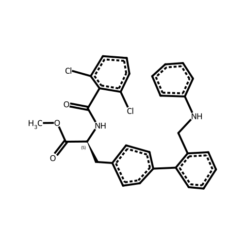 COC(=O)[C@H](Cc1ccc(-c2ccccc2CNc2ccccc2)cc1)NC(=O)c1c(Cl)cccc1Cl